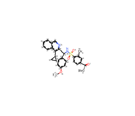 COC(=O)c1ccc(S(=O)(=O)NC(c2ccc(OC(F)(F)F)cc2)c2ncc3ccccc3c2C2CC2)c(C)c1